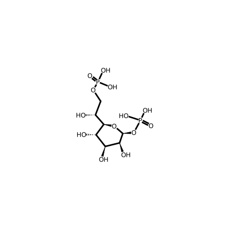 O=P(O)(O)OC[C@@H](O)[C@H]1O[C@@H](OP(=O)(O)O)[C@@H](O)[C@@H](O)[C@@H]1O